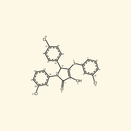 O=C1C(O)=C(Sc2cccc(Cl)c2)C(c2ccc(Cl)cc2)N1c1cccc(Cl)c1